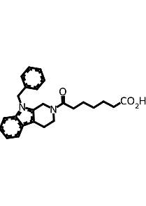 O=C(O)CCCCCC(=O)N1CCc2c(n(Cc3ccccc3)c3ccccc23)C1